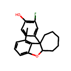 Cc1cccc2c1C1(c3ccc(O)c(F)c3)CCCCCC1O2